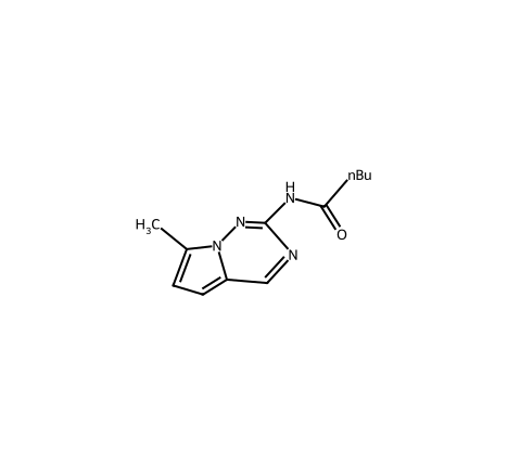 CCCCC(=O)Nc1ncc2ccc(C)n2n1